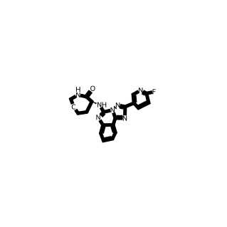 O=C1NCCCC[C@H]1Nc1nc2ccccc2c2nc(-c3ccc(F)nc3)nn12